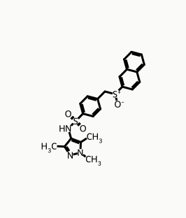 Cc1nn(C)c(C)c1NS(=O)(=O)c1ccc(C[S+]([O-])c2ccc3ccccc3c2)cc1